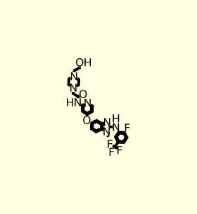 Cn1c(Nc2cc(C(F)(F)F)ccc2F)nc2cc(Oc3ccnc(NC(=O)CN4CCN(CCO)CC4)c3)ccc21